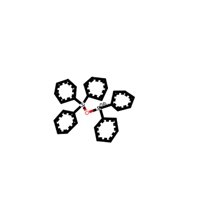 [CH2]CCC[Si](O[Si](c1ccccc1)(c1ccccc1)c1ccccc1)(c1ccccc1)c1ccccc1